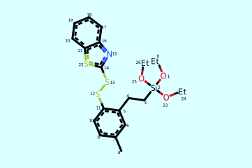 CCO[Si](CCc1cc(C)ccc1SSc1nc2ccccc2s1)(OCC)OCC